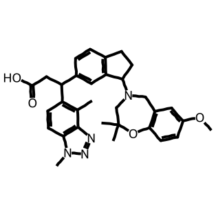 COc1ccc2c(c1)CN(C1CCc3ccc(C(CC(=O)O)c4ccc5c(nnn5C)c4C)cc31)CC(C)(C)O2